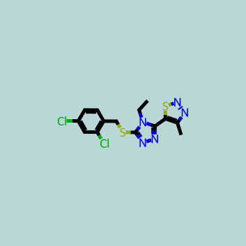 CCn1c(SCc2ccc(Cl)cc2Cl)nnc1-c1snnc1C